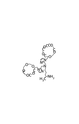 CC(N)CCCCN(Cc1nccn1CC1COCCOCCOCCOCCO1)Cc1nccn1CC1COCCOCCOCCOCCO1